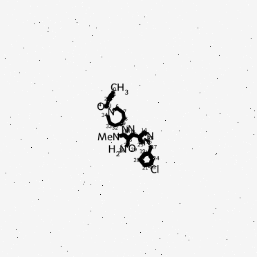 CC#CC(=O)N1CCCC(n2nc(-c3cnn(Cc4cccc(Cl)c4)c3)c(C(N)=O)c2NC)CCC1